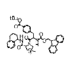 CC(C)(C)OC(=O)c1ccc(CC(NC(=O)OCC2c3ccccc3-c3ccccc32)C(=O)N2C[Si](C)(C)CC2C(=O)N[C@@H]2CCCc3ccccc32)cc1